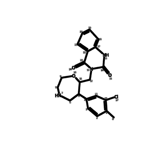 Cc1ccc(C2CNCCOC2Cn2c(=O)[nH]c3ccccc3c2=O)cc1Cl